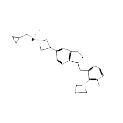 O=S(=O)(CC1CC1)N1CC(c2ccc3c(c2)CCC3Cc2cccc(C(F)(F)F)c2N2CCC2)C1